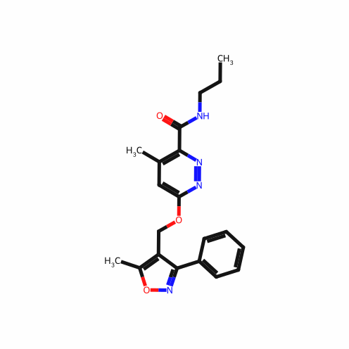 CCCNC(=O)c1nnc(OCc2c(-c3ccccc3)noc2C)cc1C